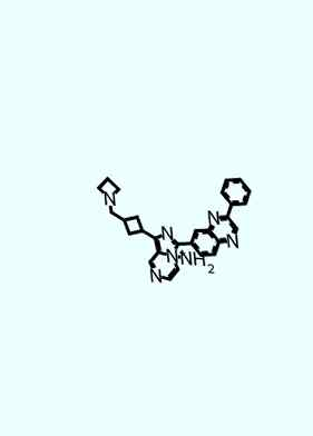 N[N+]12C=CN=CC1=C(C1CC(CN3CCC3)C1)N=C2c1ccc2ncc(-c3ccccc3)nc2c1